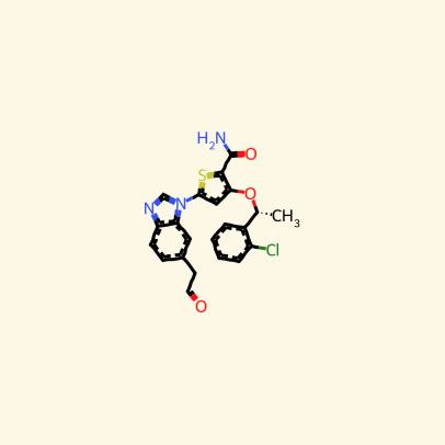 C[C@@H](Oc1cc(-n2cnc3ccc(CC=O)cc32)sc1C(N)=O)c1ccccc1Cl